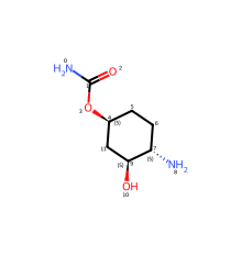 NC(=O)O[C@H]1CC[C@H](N)[C@@H](O)C1